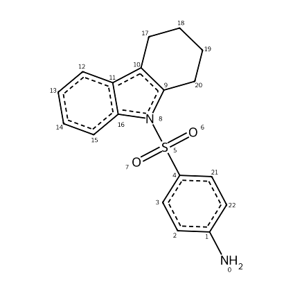 Nc1ccc(S(=O)(=O)n2c3c(c4ccccc42)CCCC3)cc1